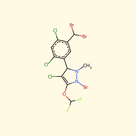 CN1C(c2cc(C(Br)Br)c(Cl)cc2Cl)C(Cl)=C(OC(F)F)N1Br